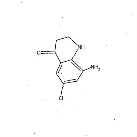 Nc1cc(Cl)cc2c1NCCC2=O